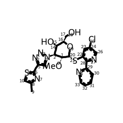 CO[C@@H]1[C@@H](n2cc(-c3nc(C)cs3)nn2)[C@@H](O)[C@@H](CO)O[C@@H]1Sc1cc(Cl)cnc1-c1ccccn1